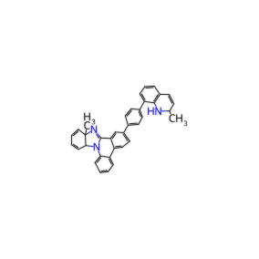 CC1C=Cc2cccc(-c3ccc(-c4ccc5c(c4)C4=NC6(C)C=CC=CC6N4c4ccccc4-5)cc3)c2N1